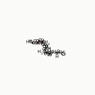 CC(C)[C@H](NC(=O)[C@H](N)CCCCNC(=O)COC1C#CCCCCC1)C(=O)N[C@@H](C)C(=O)Nc1ccc2c(c1)[C@@]1(C)CCC[C@](C)(C(=O)NC(=O)[C@@]3(C)CCC[C@]4(C)c5cc(O)ccc5CC[C@@H]34)[C@@H]1CC2